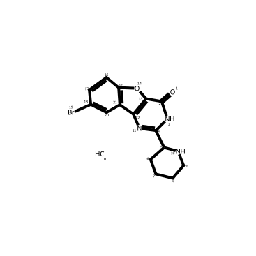 Cl.O=c1[nH]c(C2CCCCN2)nc2c1oc1ccc(Br)cc12